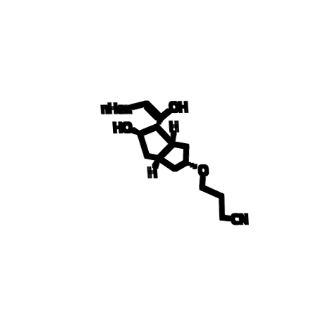 CCCCCC/C=C(/O)[C@@H]1[C@@H]2C[C@H](OCCCC#N)C[C@@H]2C[C@H]1O